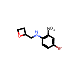 O=[N+]([O-])c1cc(Br)ccc1NCC1CCO1